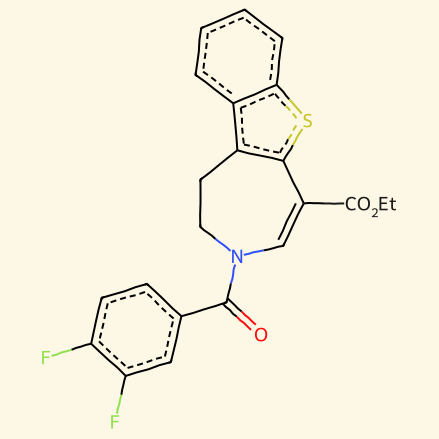 CCOC(=O)C1=CN(C(=O)c2ccc(F)c(F)c2)CCc2c1sc1ccccc21